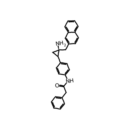 N[C@]1(Cc2ccc3ccccc3c2)CC1c1ccc(NC(=O)Cc2ccccc2)cc1